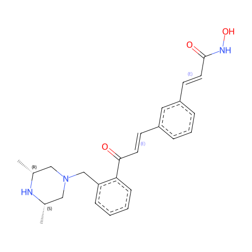 C[C@@H]1CN(Cc2ccccc2C(=O)/C=C/c2cccc(/C=C/C(=O)NO)c2)C[C@H](C)N1